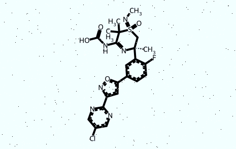 CN=S1(=O)C[C@@](C)(c2cc(-c3cc(-c4ncc(Cl)cn4)no3)ccc2F)N=C(NC(=O)O)C1(C)C